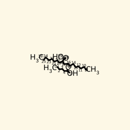 CCCCCC(=O)O.CCCCCCCCCCC(CCCCCCCC)C(=O)O